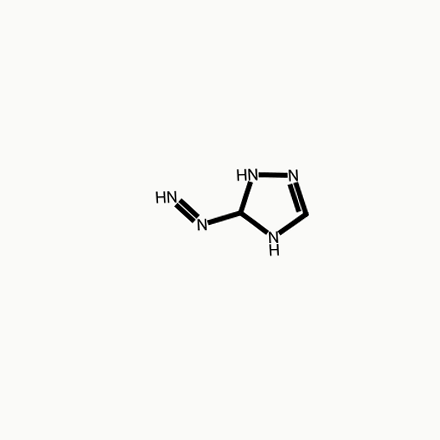 N=NC1NC=NN1